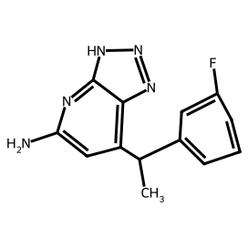 CC(c1cccc(F)c1)c1cc(N)nc2[nH]nnc12